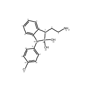 NCCN1c2ccccc2N(c2ccc(Cl)cc2)S1(O)O